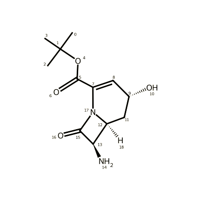 CC(C)(C)OC(=O)C1=C[C@H](O)C[C@H]2[C@@H](N)C(=O)N12